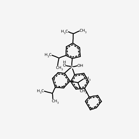 CC(C)c1ccc(P(O)(O)(c2ccc(-c3ccccc3)cc2)c2ccc(C(C)C)cc2C(C)C)c(C(C)C)c1